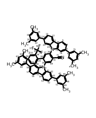 Cc1cc(C)cc(-c2ccc3c4ccc(-c5cc(C)cc(C)c5)cc4n(-c4cc(-c5ccccc5C(F)(F)F)c(-n5c6cc(-c7cc(C)cc(C)c7)ccc6c6ccc(-c7cc(C)cc(C)c7)cc65)cc4C#N)c3c2)c1